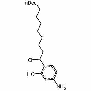 CCCCCCCCCCCCCCCCCC(Cl)c1ccc(N)cc1O